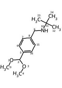 COC(OC)c1ccc(CNC(C)(C)C)cc1